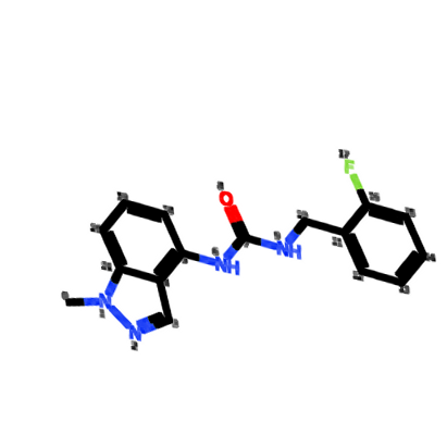 Cn1ncc2c(NC(=O)NCc3ccccc3F)cccc21